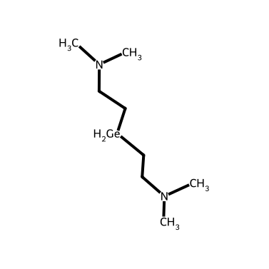 CN(C)C[CH2][GeH2][CH2]CN(C)C